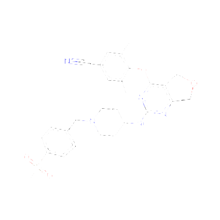 Cc1cc(C#N)cc(C)c1Oc1nc(NC2CCN(Cc3ccc(S(C)(=O)=O)cc3)CC2)nc2c1COC2